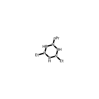 CCCN1BN(CC)BN(CC)B1